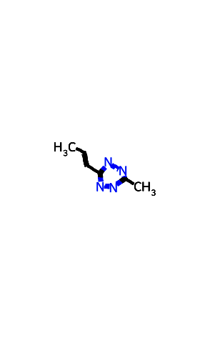 C/C=C/c1nnc(C)nn1